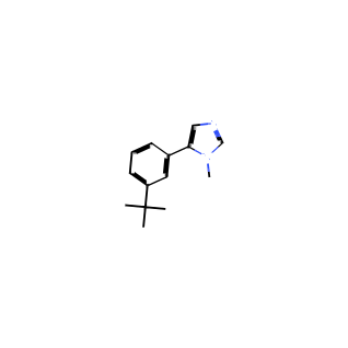 Cn1cncc1-c1cccc(C(C)(C)C)c1